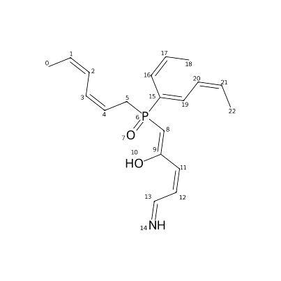 C/C=C\C=C/CP(=O)(/C=C(O)/C=C\C=N)C(/C=C\C)=C/C=C\C